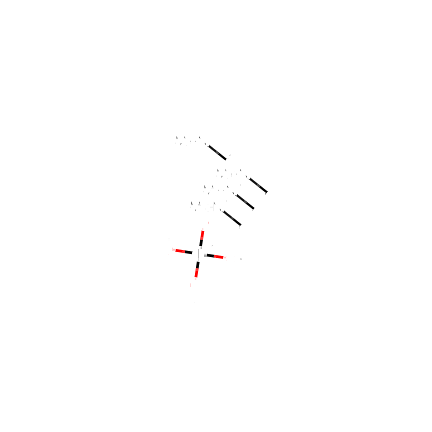 C[NH2+]C.C[NH2+]C.C[NH2+]C.C[NH2+]C.[O-][Ti]([O-])([O-])[O-]